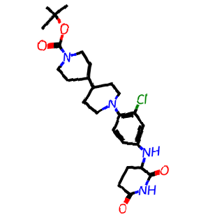 CC(C)(C)OC(=O)N1CCC(C2CCN(c3ccc(NC4CCC(=O)NC4=O)cc3Cl)CC2)CC1